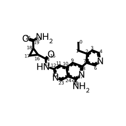 CCc1ccncc1-c1cc2cc(NC(=O)C3CC3C(N)=O)ncc2c(N)n1